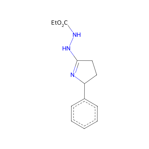 CCOC(=O)NNC1=NC(c2ccccc2)CC1